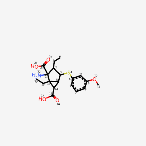 CCC1C(Sc2cccc(OC)c2)C2C(C(=O)O)C2(CC)C1(N)C(=O)O